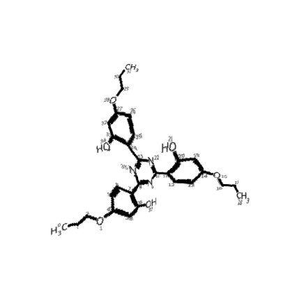 CCCOc1ccc(-c2nc(-c3ccc(OCCC)cc3O)nc(-c3ccc(OCCC)cc3O)n2)c(O)c1